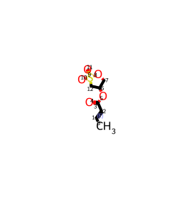 C/C=C/C(=O)OC1COS(=O)(=O)C1